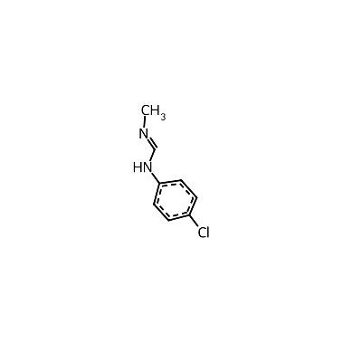 C/N=C/Nc1ccc(Cl)cc1